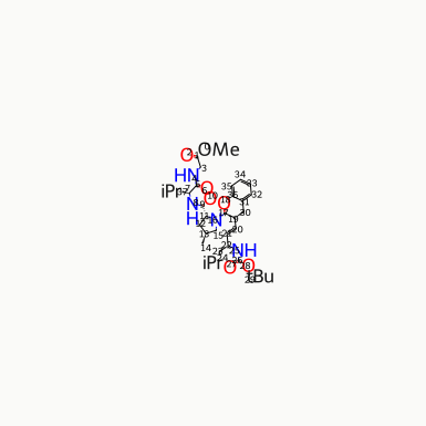 COC(=O)CNC(=O)[C@@H](NC(=O)[C@H]1C[C@H](C)CN1C(=O)[C@H](/C=C/[C@H](CC(C)C)NC(=O)OC(C)(C)C)Cc1ccccc1)C(C)C